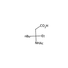 CCCCC(CC)(CC(=O)O)NC(C)=O